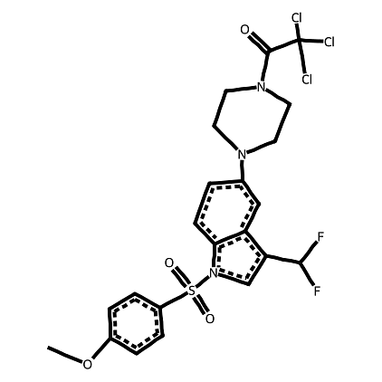 COc1ccc(S(=O)(=O)n2cc(C(F)F)c3cc(N4CCN(C(=O)C(Cl)(Cl)Cl)CC4)ccc32)cc1